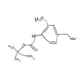 Cc1cc(CBr)ccc1NC(=O)OC(C)(C)C